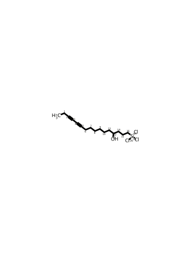 CCC#CC#CCCCCCCC(O)CCC[Si](Cl)(Cl)Cl